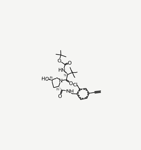 C#Cc1ccc(CNC(=O)[C@@H]2C[C@@H](O)CN2C(=O)[C@@H](NC(=O)OC(C)(C)C)C(C)(C)C)c(Cl)c1